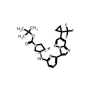 CC(C)(C)OC(=O)N1C[C@H](Nc2cccc(-c3cnc4cc(C5(C(F)(F)F)CC5)cnn34)n2)[C@@H](F)C1